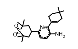 CC1(C)CC=C(c2nc(C3CC(C)(C)S(=O)(=O)C(C)(C)C3)ccc2N)CC1